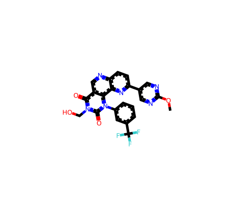 COc1ncc(-c2ccc3ncc4c(=O)n(CO)c(=O)n(-c5cccc(C(F)(F)F)c5)c4c3n2)cn1